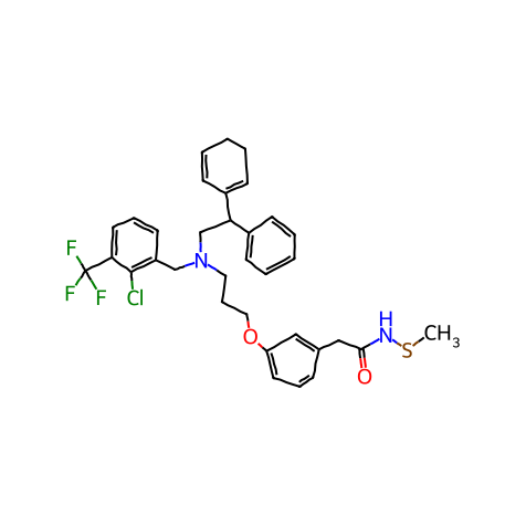 CSNC(=O)Cc1cccc(OCCCN(Cc2cccc(C(F)(F)F)c2Cl)CC(C2=CCCC=C2)c2ccccc2)c1